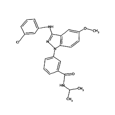 COc1ccc2c(c1)c(Nc1cccc(Cl)c1)nn2-c1cccc(C(=O)NC(C)C)c1